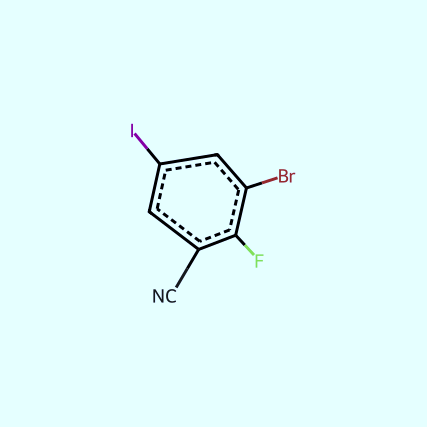 N#Cc1cc(I)cc(Br)c1F